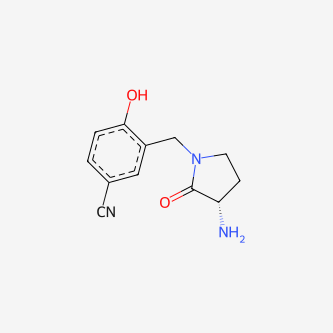 N#Cc1ccc(O)c(CN2CC[C@H](N)C2=O)c1